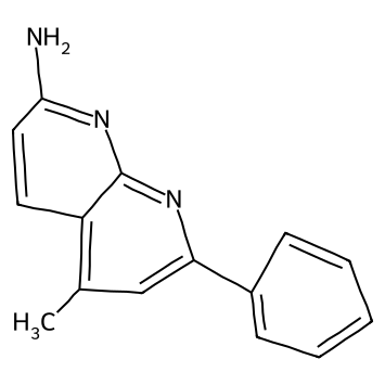 Cc1cc(-c2ccccc2)nc2nc(N)ccc12